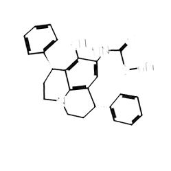 CCCSC(=O)Nc1cc2c3c(c1C)[C@H](c1ccccc1)CCN3CC[C@H]2c1ccccc1